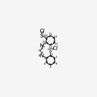 ClSc1ccccc1N=C=Nc1ccccc1SCl